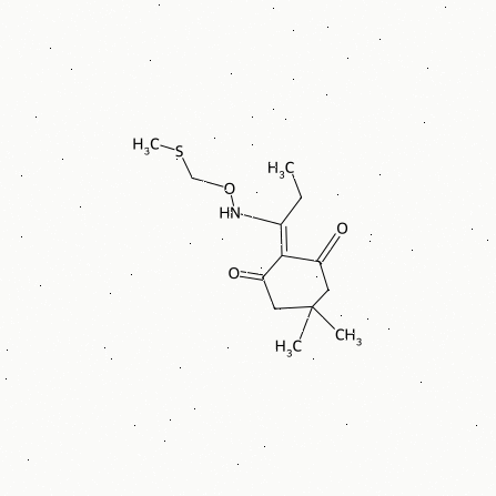 CCC(NOCSC)=C1C(=O)CC(C)(C)CC1=O